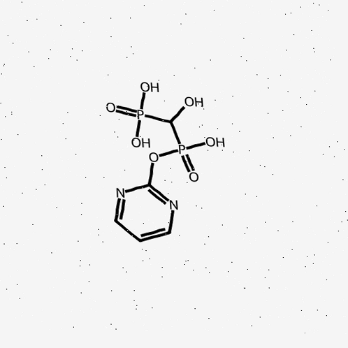 O=P(O)(O)C(O)P(=O)(O)Oc1ncccn1